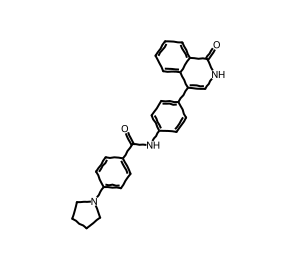 O=C(Nc1ccc(-c2c[nH]c(=O)c3ccccc23)cc1)c1ccc(N2CCCC2)cc1